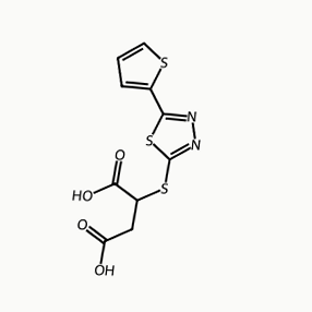 O=C(O)CC(Sc1nnc(-c2cccs2)s1)C(=O)O